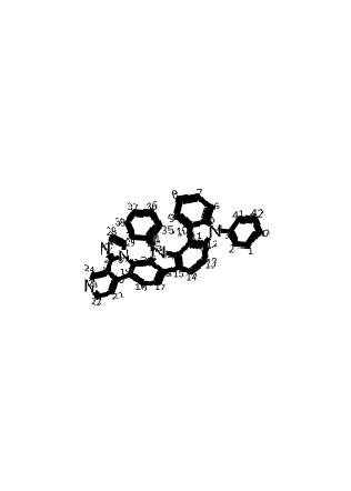 c1ccc(-n2c3ccccc3c3c2ccc2c4ccc5c6ccncc6c6nccn6c5c4n(-c4ccccc4)c23)cc1